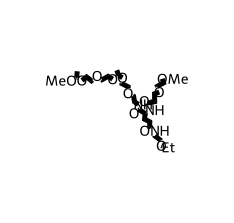 CCOCCNC(=O)CCC(NC(=O)CCOCCOC)C(=O)NCCOCCOC(C)OCCOCCOC(C)OC